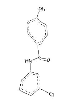 O=C(Nc1cccc(Cl)c1)c1ccc(O)cc1